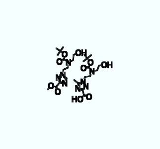 COC(=O)c1ncn(CCN(CCO)C(=O)OC(C)(C)C)n1.Cc1nc(C(=O)O)nn1CCN(CCO)C(=O)OC(C)(C)C